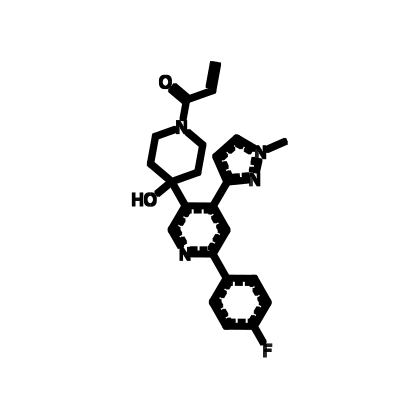 C=CC(=O)N1CCC(O)(c2cnc(-c3ccc(F)cc3)cc2-c2ccn(C)n2)CC1